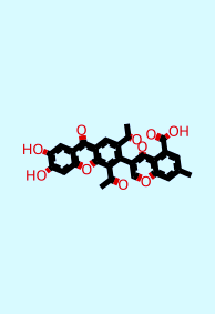 CC(=O)c1cc2c(=O)c3cc(O)c(O)cc3oc2c(C(C)=O)c1-c1coc2cc(C)cc(C(=O)O)c2c1=O